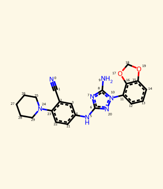 N#Cc1cc(Nc2nc(N)n(-c3cccc4c3OCO4)n2)ccc1N1CCCCC1